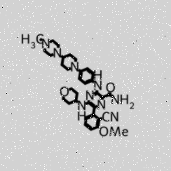 COc1cccc(-c2nc(C(N)=O)c(Nc3ccc(N4CCC(N5CCN(C)CC5)CC4)cc3)nc2NC2CCOCC2)c1C#N